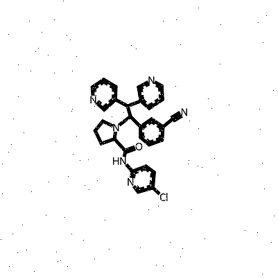 N#Cc1cccc(C(C(c2cccnc2)c2cccnc2)N2CCCC2C(=O)Nc2ccc(Cl)cn2)c1